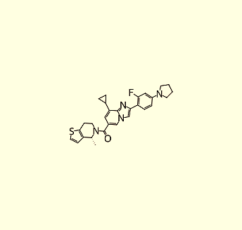 C[C@@H]1c2ccsc2CCN1C(=O)c1cc(C2CC2)c2nc(-c3ccc(N4CCCC4)cc3F)cn2c1